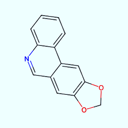 c1ccc2c(c1)ncc1cc3c(cc12)OCO3